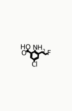 Nc1c(CCF)cc(Cl)cc1C(=O)O